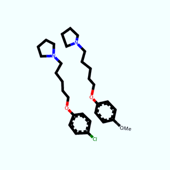 COc1ccc(OCCCCCN2CCCC2)cc1.Clc1ccc(OCCCCCN2CCCC2)cc1